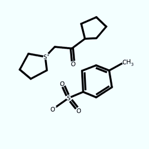 Cc1ccc(S(=O)(=O)[O-])cc1.O=C(C[S+]1CCCC1)C1CCCC1